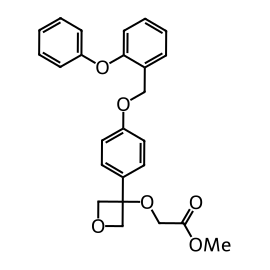 COC(=O)COC1(c2ccc(OCc3ccccc3Oc3ccccc3)cc2)COC1